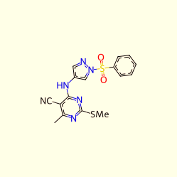 CSc1nc(C)c(C#N)c(Nc2cnn(S(=O)(=O)c3ccccc3)c2)n1